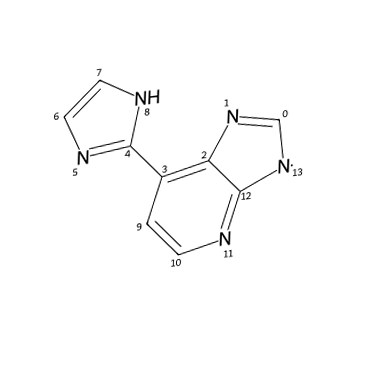 C1=Nc2c(-c3ncc[nH]3)ccnc2[N]1